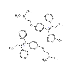 CC/C(=C(/c1ccc(OCCN(C)C)cc1)c1cccc(O)c1)c1ccccc1.CC/C(=C(\c1ccccc1)c1ccc(OCCN(C)C)cc1)c1ccccc1